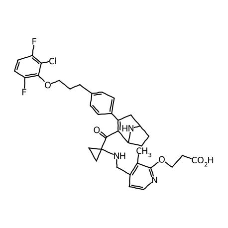 Cc1c(CNC2(C(=O)C3=C(c4ccc(CCCOc5c(F)ccc(F)c5Cl)cc4)CC4CCC3N4)CC2)ccnc1OCCC(=O)O